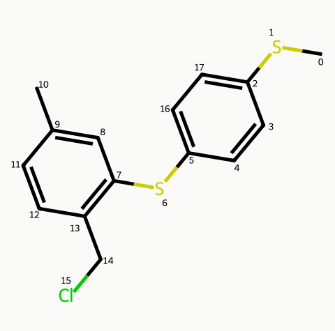 CSc1ccc(Sc2cc(C)ccc2CCl)cc1